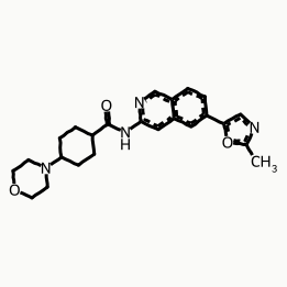 Cc1ncc(-c2ccc3cnc(NC(=O)C4CCC(N5CCOCC5)CC4)cc3c2)o1